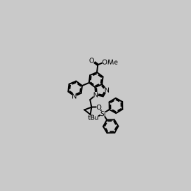 COC(=O)c1cc(-c2cccnc2)c2c(c1)ncn2CC1(O[Si](c2ccccc2)(c2ccccc2)C(C)(C)C)CC1